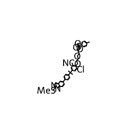 CSc1ncc2cc(-c3ccc(C(C)(C)c4cc(Cl)c(OCCOCCOS(=O)(=O)c5ccc(C)cc5)c(C#N)c4)cc3)ccc2n1